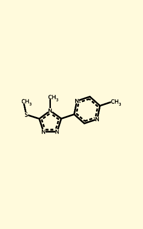 CSc1nnc(-c2cnc(C)cn2)n1C